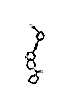 N#Cc1cccc(C#Cc2cnc3c(c2)CN(C(=O)N2CCCCC2)CC3)c1